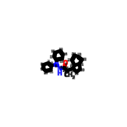 C=C(C(=O)NN(c1ccccc1)c1ccccc1)C1CCC2[C]=CC=CC21